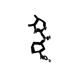 Cc1cnc(Nc2cccc([N+](=O)[O-])c2)nc1C